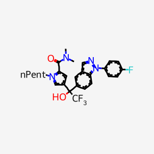 CCCCCn1cc(C(O)(c2ccc3c(cnn3-c3ccc(F)cc3)c2)C(F)(F)F)cc1C(=O)N(C)C